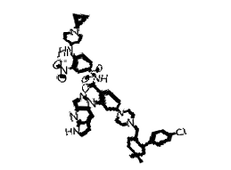 CC1(C)CCC(CN2CCN(c3ccc(C(=O)NS(=O)(=O)c4ccc(NC5CCN(C6CC6)CC5)c([N+](=O)[O-])c4)c(-n4ncc5nc6[nH]ccc6cc54)c3)CC2)=C(c2ccc(Cl)cc2)C1